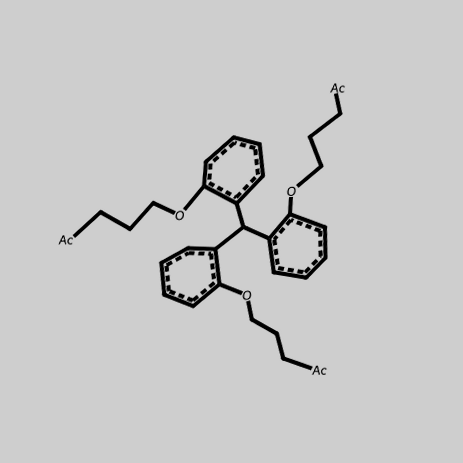 CC(=O)CCCOc1ccccc1[C](c1ccccc1OCCCC(C)=O)c1ccccc1OCCCC(C)=O